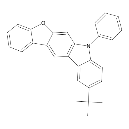 CC(C)(C)c1ccc2c(c1)c1cc3c(cc1n2-c1ccccc1)oc1ccccc13